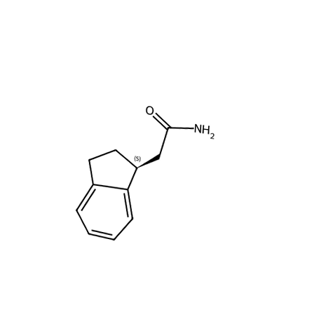 NC(=O)C[C@@H]1CCc2ccccc21